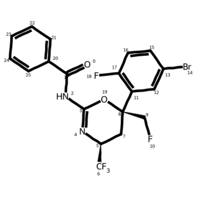 O=C(NC1=N[C@H](C(F)(F)F)C[C@@](CF)(c2cc(Br)ccc2F)O1)c1ccccc1